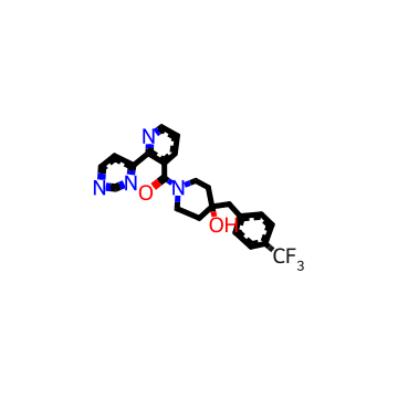 O=C(c1cccnc1-c1ccncn1)N1CCC(O)(Cc2ccc(C(F)(F)F)cc2)CC1